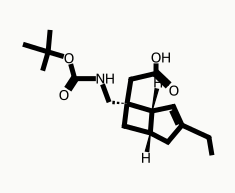 CCC1=C[C@@H]2[C@H](C1)C[C@@]2(CNC(=O)OC(C)(C)C)CC(=O)O